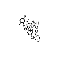 Cc1ccc(F)c([C@@H](C)[C@H](NS(=O)(=O)c2ccc(Cl)c(C(=O)N3CCOCC3)n2)c2n[nH]c(=O)o2)c1C